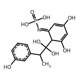 CC(c1cccc(O)c1)C(O)(O)C1C(O)=CC(O)=CC1=NP(=O)(O)O